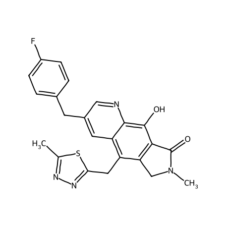 Cc1nnc(Cc2c3c(c(O)c4ncc(Cc5ccc(F)cc5)cc24)C(=O)N(C)C3)s1